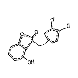 O=c1oc2cccc(O)c2n1Cc1ccc(Cl)c(Cl)c1